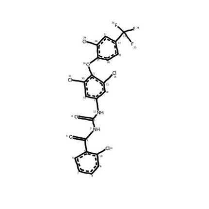 O=C(NC(=O)c1ccccc1Cl)Nc1cc(Cl)c(Oc2ccc(C(F)(F)F)cc2Cl)c(Cl)c1